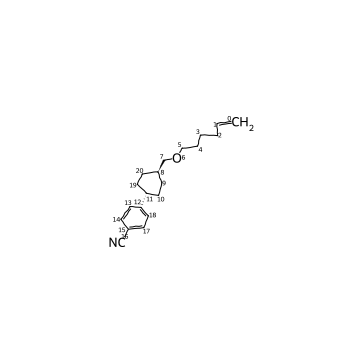 C=CCCCCOC[C@H]1CC[C@H](c2ccc(C#N)cc2)CC1